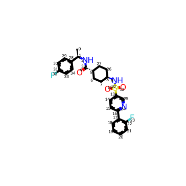 C[C@@H](NC(=O)[C@H]1CC[C@H](NS(=O)(=O)c2ccc(-c3ccccc3F)nc2)CC1)c1ccc(F)cc1